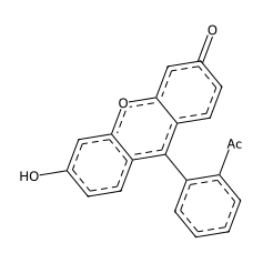 CC(=O)c1ccccc1-c1c2ccc(=O)cc-2oc2cc(O)ccc12